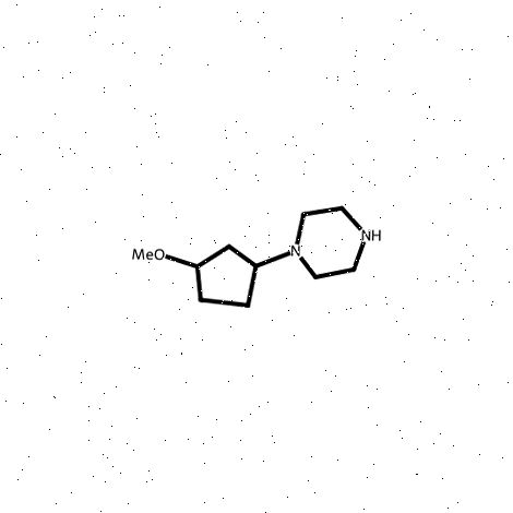 COC1CCC(N2CCNCC2)C1